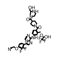 Cc1cc(Nc2nccn3c(-c4ccc(OCC#N)c(F)c4F)cnc23)ccc1C(=O)N1CCC(C(=O)N2CCNC(CO)C2)CC1.O=C(O)C(F)(F)F